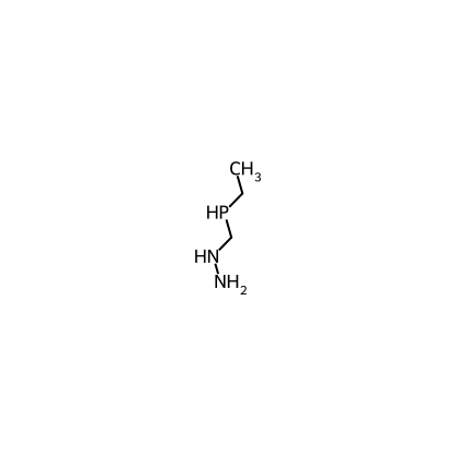 CCPCNN